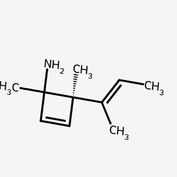 C/C=C(\C)[C@@]1(C)C=CC1(C)N